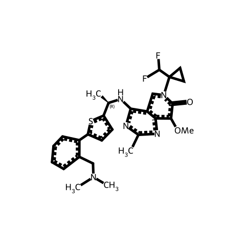 COc1c(=O)n(C2(C(F)F)CC2)cc2c(N[C@H](C)c3ccc(-c4ccccc4CN(C)C)s3)nc(C)nc12